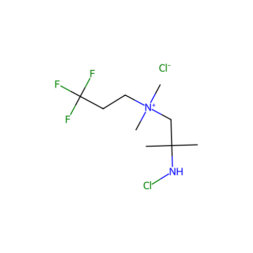 CC(C)(C[N+](C)(C)CCC(F)(F)F)NCl.[Cl-]